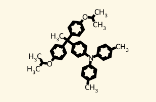 Cc1ccc(N(c2ccc(C)cc2)c2ccc(C(C)(c3ccc(OC(C)C)cc3)c3ccc(OC(C)C)cc3)cc2)cc1